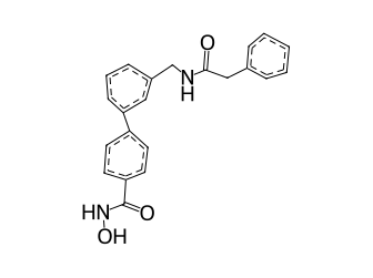 O=C(Cc1ccccc1)NCc1cccc(-c2ccc(C(=O)NO)cc2)c1